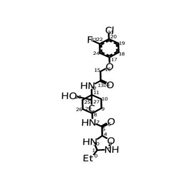 CCC1NOC(C(=O)NC23CCC(NC(=O)COc4ccc(Cl)c(F)c4)(CC2)C(O)C3)N1